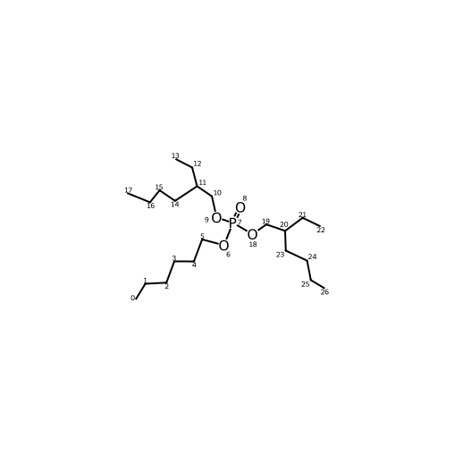 CCCCCCOP(=O)(OCC(CC)CCCC)OCC(CC)CCCC